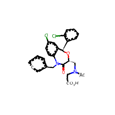 CC(=O)N(CC(=O)O)C[C@H]1O[C@H](c2ccccc2Cl)c2cc(Cl)ccc2N(Cc2ccccc2)C1=O